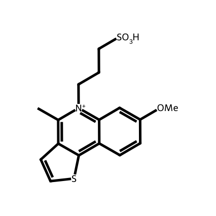 COc1ccc2c3sccc3c(C)[n+](CCCS(=O)(=O)O)c2c1